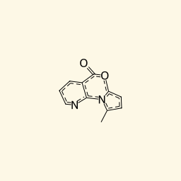 Cc1ccc2oc(=O)c3cccnc3n12